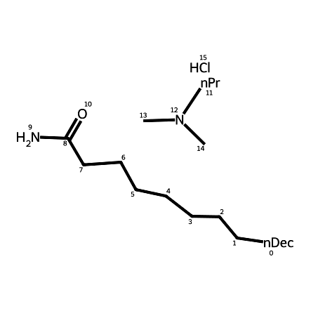 CCCCCCCCCCCCCCCCCC(N)=O.CCCN(C)C.Cl